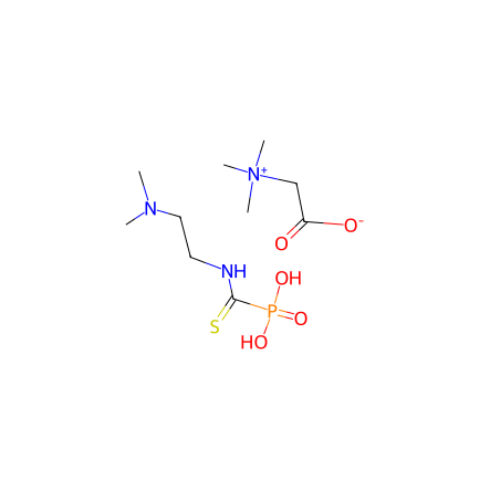 CN(C)CCNC(=S)P(=O)(O)O.C[N+](C)(C)CC(=O)[O-]